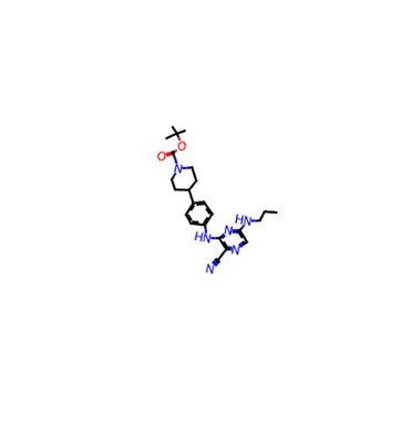 CCCNc1cnc(C#N)c(Nc2ccc(C3CCN(C(=O)OC(C)(C)C)CC3)cc2)n1